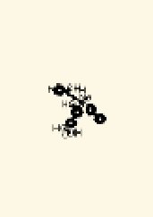 O=P(O)(O)c1ccc(-c2ccc([C@@H]3[C@@H](CCCC(O)c4ccc(F)cc4)NC(=S)N3c3ccc(-c4ccccc4)cc3)c(O)c2)cc1